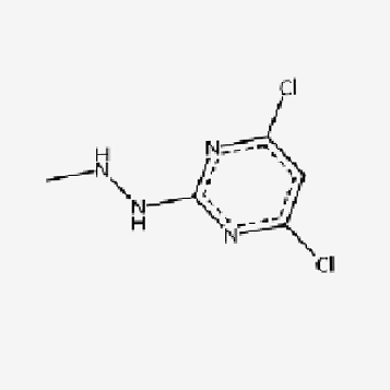 CNNc1nc(Cl)cc(Cl)n1